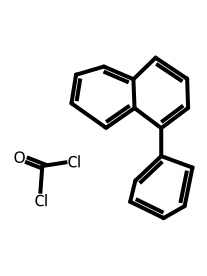 O=C(Cl)Cl.c1ccc(-c2cccc3ccccc23)cc1